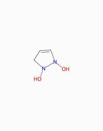 ON1C=CCN1O